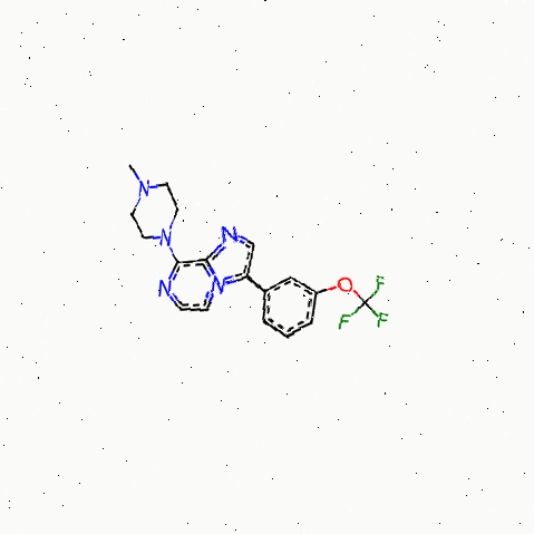 CN1CCN(c2nccn3c(-c4cccc(OC(F)(F)F)c4)cnc23)CC1